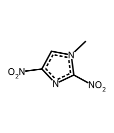 Cn1cc([N+](=O)[O-])nc1[N+](=O)[O-]